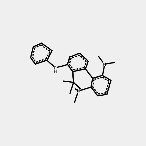 CN(C)c1cccc(N(C)C)c1-c1cccc(Pc2ccccc2)c1C(C)(C)C